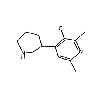 Cc1cc(C2CCCNC2)c(F)c(C)n1